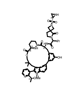 CCn1c(-c2cccnc2[C@H](C)OC)c2c3cc(ccc31)-c1cc(O)cc(c1)C[C@H](NC(=O)C(C(C)C)N1CCC3(CN(S(=O)(=O)[C@@H]4CN4)C3)C1=O)C(=O)N1CCC[C@H](N1)C(=O)OCC(C)(C)C2